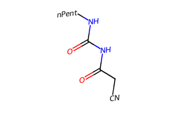 CCCCCNC(=O)NC(=O)CC#N